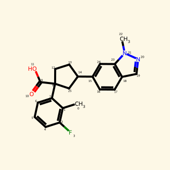 Cc1c(F)cccc1C1(C(=O)O)CCC(c2ccc3cnn(C)c3c2)C1